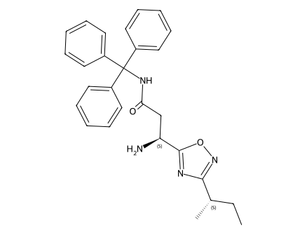 CC[C@H](C)c1noc([C@@H](N)CC(=O)NC(c2ccccc2)(c2ccccc2)c2ccccc2)n1